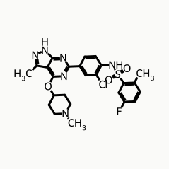 Cc1ccc(F)cc1S(=O)(=O)Nc1ccc(-c2nc(OC3CCN(C)CC3)c3c(C)n[nH]c3n2)cc1Cl